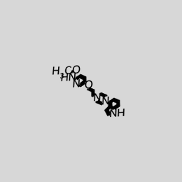 CC(=O)Nc1ccc(OCCCN2CCN(c3cccc4[nH]ccc34)CC2)cn1